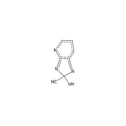 CCCC1(C#N)N=c2cccnc2=N1